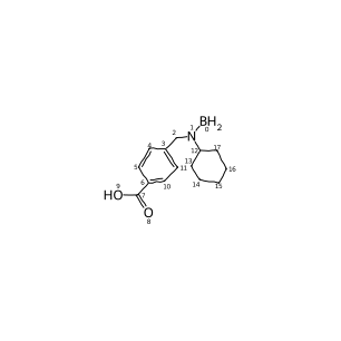 BN(Cc1ccc(C(=O)O)cc1)C1CCCCC1